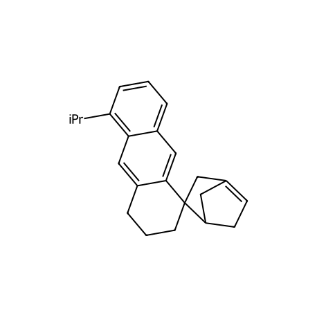 CC(C)c1cccc2cc3c(cc12)CCCC31CC2=CCC1C2